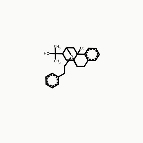 CCC12CC3C(C(C)(C)O)CC1C(Cc1ccccc12)N3CCc1ccccc1